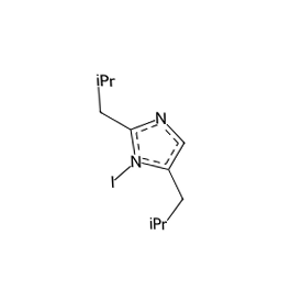 CC(C)Cc1cnc(CC(C)C)n1I